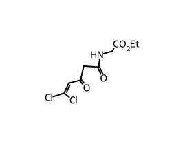 CCOC(=O)CNC(=O)CC(=O)C=C(Cl)Cl